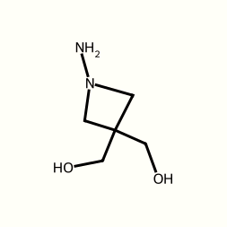 NN1CC(CO)(CO)C1